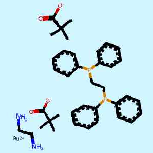 CC(C)(C)C(=O)[O-].CC(C)(C)C(=O)[O-].NCCN.[Ru+2].c1ccc(P(CCP(c2ccccc2)c2ccccc2)c2ccccc2)cc1